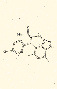 Cc1cc(F)c2[nH]ncc2c1-c1c(N)c(=O)[nH]c2cc(Cl)cnc12